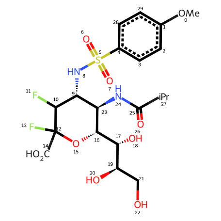 COc1ccc(S(=O)(=O)N[C@H]2C(F)C(F)(C(=O)O)O[C@@H]([C@H](O)[C@H](O)CO)[C@@H]2NC(=O)C(C)C)cc1